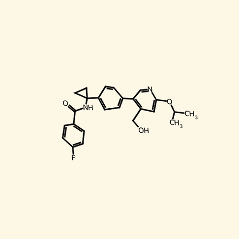 CC(C)Oc1cc(CO)c(-c2ccc(C3(NC(=O)c4ccc(F)cc4)CC3)cc2)cn1